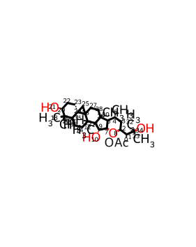 CC(=O)O[C@@H](C1C[C@@H](C)C2C(O1)[C@H](O)[C@@]1(C)[C@@H]3CC[C@H]4C(C)(C)[C@@H](O)CC[C@@]45CC35CC[C@]21C)C(C)(C)O